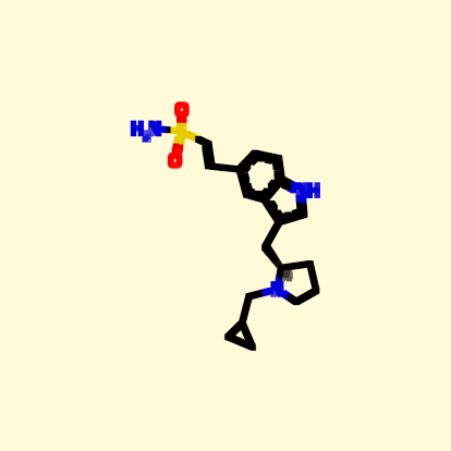 NS(=O)(=O)C=Cc1ccc2[nH]cc(C[C@H]3CCCN3CC3CC3)c2c1